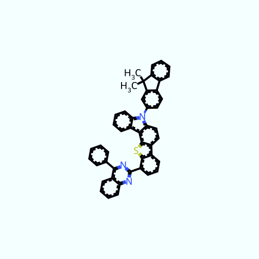 CC1(C)c2ccccc2-c2ccc(-n3c4ccccc4c4c5sc6c(-c7nc(-c8ccccc8)c8ccccc8n7)cccc6c5ccc43)cc21